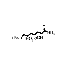 CCCCCCCCCCCCCCCC(N)=O.O=S(=O)(O)O